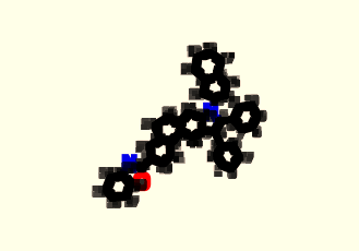 c1ccc(-c2c(-c3ccccc3)n(-c3ccc4ccccc4c3)c3cc4ccc5cc(-c6nc7ccccc7o6)ccc5c4cc23)cc1